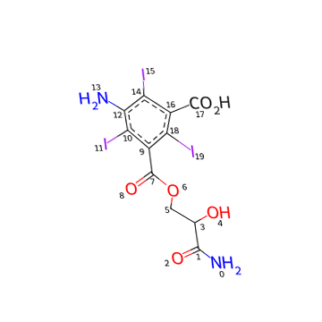 NC(=O)C(O)COC(=O)c1c(I)c(N)c(I)c(C(=O)O)c1I